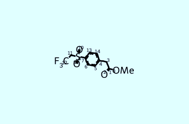 COC(=O)Cc1ccc(S(=O)(=O)CC(F)(F)F)cc1